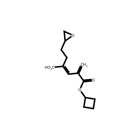 C=C(C=C(CCC1CO1)C(=O)O)C(=O)OC1CCC1